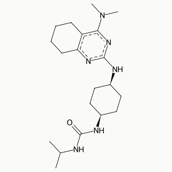 CC(C)NC(=O)N[C@H]1CC[C@@H](Nc2nc3c(c(N(C)C)n2)CCCC3)CC1